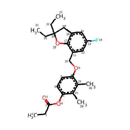 CCC(=O)Oc1ccc(OCc2cc(F)cc3c2OC(CC)(CC)C3)c(C)c1C